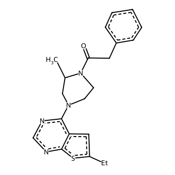 CCc1cc2c(N3CCN(C(=O)Cc4ccccc4)C(C)C3)ncnc2s1